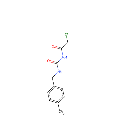 Cc1ccc(CNC(=O)NC(=O)CCl)cc1